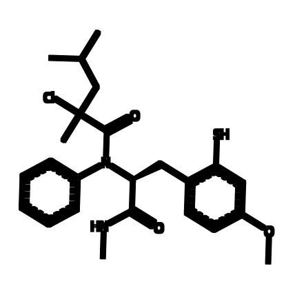 CNC(=O)[C@H](Cc1ccc(OC)cc1S)N(C(=O)C(C)(Cl)CC(C)C)c1ccccc1